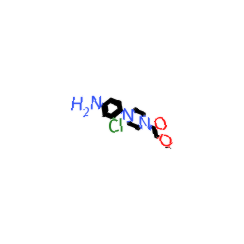 COCC(=O)N1CCN(c2ccc(N)cc2Cl)CC1